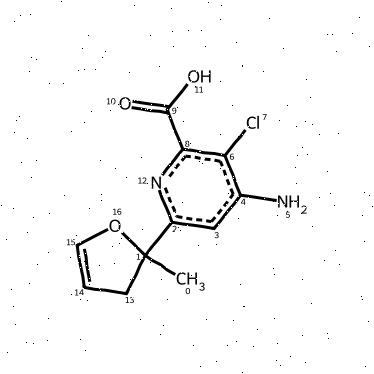 CC1(c2cc(N)c(Cl)c(C(=O)O)n2)CC=CO1